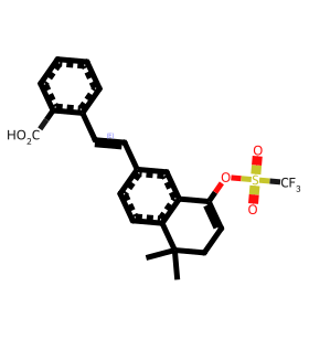 CC1(C)CC=C(OS(=O)(=O)C(F)(F)F)c2cc(/C=C/c3ccccc3C(=O)O)ccc21